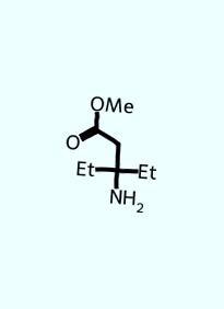 CCC(N)(CC)CC(=O)OC